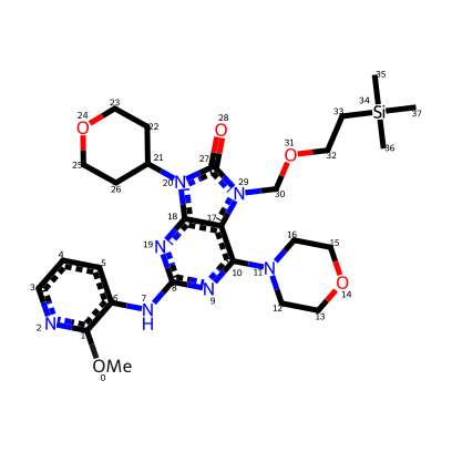 COc1ncccc1Nc1nc(N2CCOCC2)c2c(n1)n(C1CCOCC1)c(=O)n2COCC[Si](C)(C)C